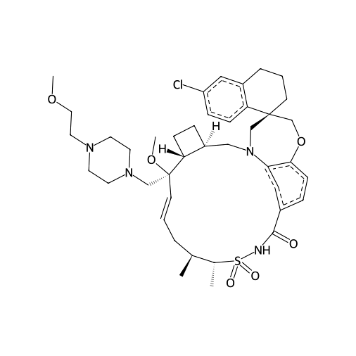 COCCN1CCN(C[C@@]2(OC)/C=C/C[C@H](C)[C@@H](C)S(=O)(=O)NC(=O)c3ccc4c(c3)N(C[C@@H]3CC[C@H]32)C[C@@]2(CCCc3cc(Cl)ccc32)CO4)CC1